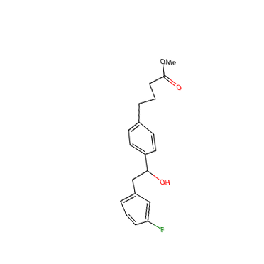 COC(=O)CCCc1ccc(C(O)Cc2cccc(F)c2)cc1